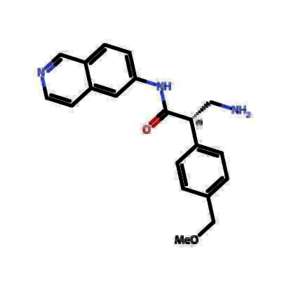 COCc1ccc([C@@H](CN)C(=O)Nc2ccc3cnccc3c2)cc1